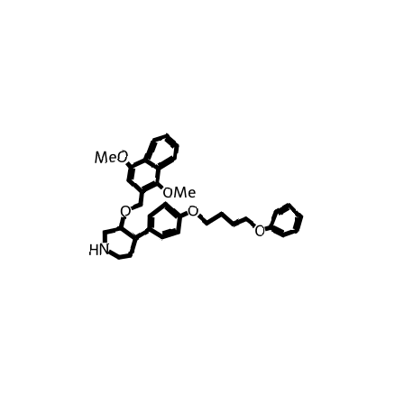 COc1cc(COC2CNCCC2c2ccc(OCCCCOc3ccccc3)cc2)c(OC)c2ccccc12